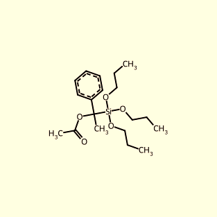 CCCO[Si](OCCC)(OCCC)C(C)(OC(C)=O)c1ccccc1